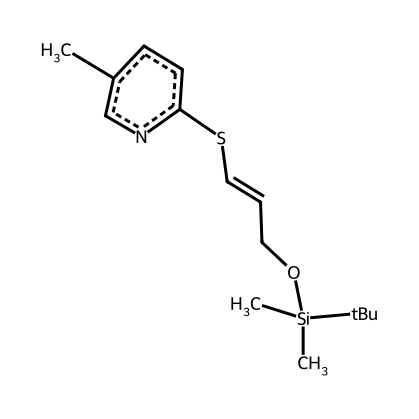 Cc1ccc(SC=CCO[Si](C)(C)C(C)(C)C)nc1